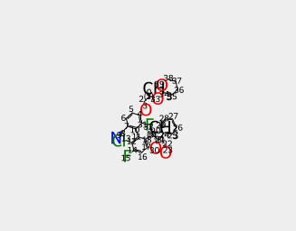 C[C@@H](COc1ccc(C#N)c(-c2c(Cl)c(F)cc3c2[C@H](C)[C@@](C=O)(c2ccccc2)O3)c1F)OC1CCCCO1